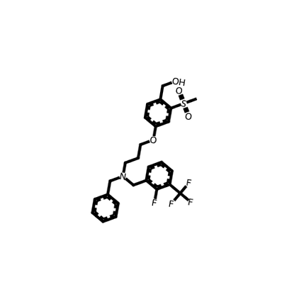 CS(=O)(=O)c1cc(OCCCN(Cc2ccccc2)Cc2cccc(C(F)(F)F)c2F)ccc1CO